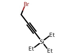 CC[Si](C#CCBr)(CC)CC